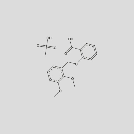 COc1cccc(COc2ccccc2C(=O)O)c1OC.CS(=O)(=O)O